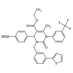 CCOC(=O)C1=C(C)N(c2cccc(C(F)(F)F)c2)C(=O)N(Cc2cccc(-c3cccs3)c2)C1c1ccc(C#N)cc1